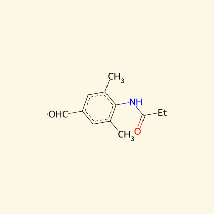 CCC(=O)Nc1c(C)cc([C]=O)cc1C